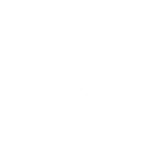 CCC(CC)(C(=O)ONC(C)=O)C(=O)OC(N)c1ccccc1